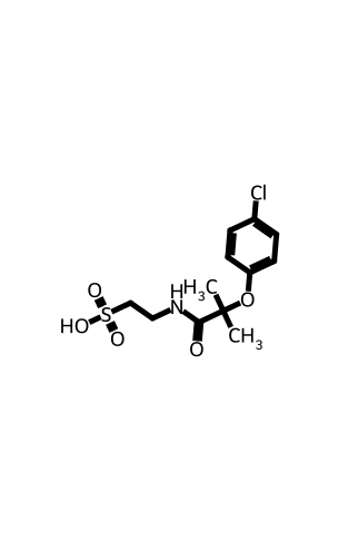 CC(C)(Oc1ccc(Cl)cc1)C(=O)NCCS(=O)(=O)O